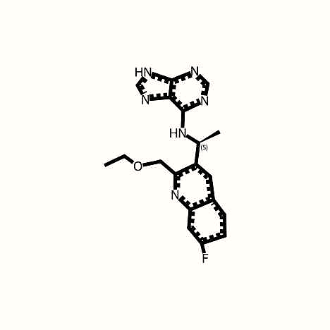 CCOCc1nc2cc(F)ccc2cc1[C@H](C)Nc1ncnc2[nH]cnc12